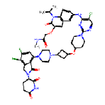 CNC(=O)COc1cc2cc(Nc3nc(N4CCC(OC5CC(N6CCN(c7cc(F)c(F)c8c7C(=O)N([C@@H]7CCC(=O)NC7=O)C8)CC6)C5)CC4)ncc3Cl)ccc2n(C(C)C)c1=O